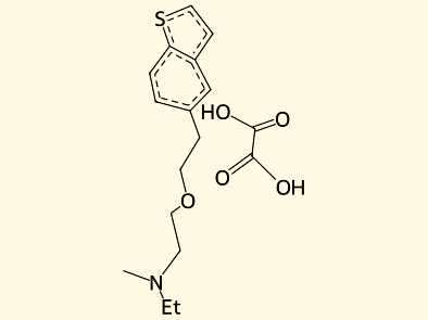 CCN(C)CCOCCc1ccc2sccc2c1.O=C(O)C(=O)O